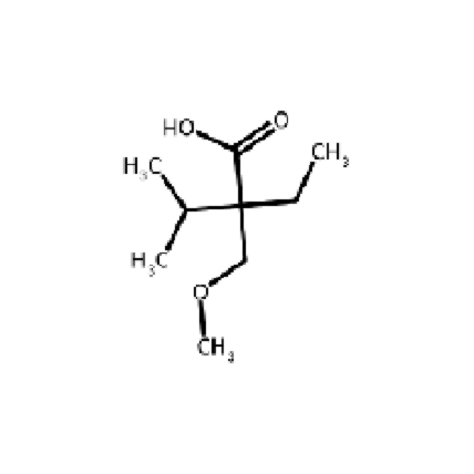 CCC(COC)(C(=O)O)C(C)C